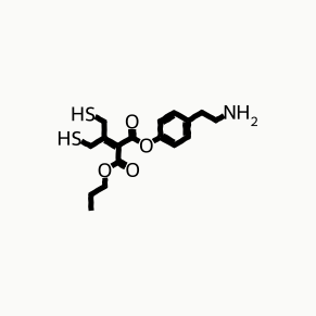 CCCOC(=O)C(C(=O)Oc1ccc(CCN)cc1)=C(CS)CS